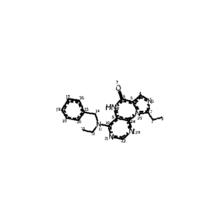 CCc1ncc2c(=O)[nH]c3c(N(CC)Cc4ccccc4)ncnc3n12